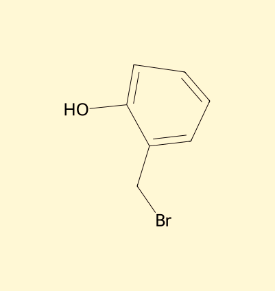 Oc1ccccc1CBr